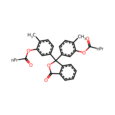 CCCC(=O)Oc1cc(C2(c3ccc(C)c(OC(=O)CCC)c3)OC(=O)c3ccccc32)ccc1C